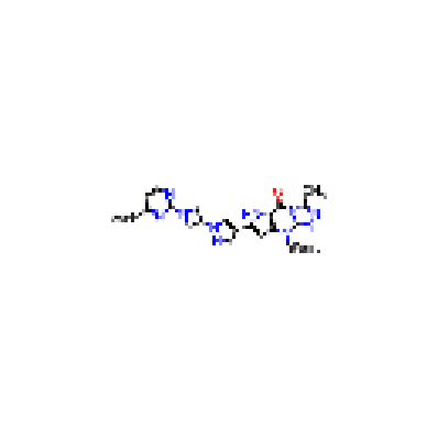 CCCCCn1c2cc(-c3cnn(C4CN(c5nccc(NC)n5)C4)c3)[nH]c2c(=O)n2c(C)nnc12